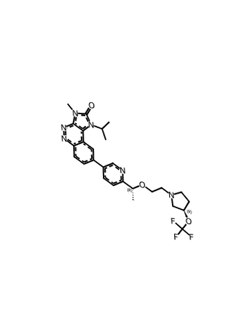 CC(C)n1c(=O)n(C)c2nnc3ccc(-c4ccc([C@@H](C)OCCN5CC[C@@H](OC(F)(F)F)C5)nc4)cc3c21